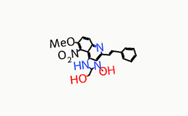 COc1ccc2nc(C=Cc3ccccc3)c3c(c2c1[N+](=O)[O-])NC(CO)N3O